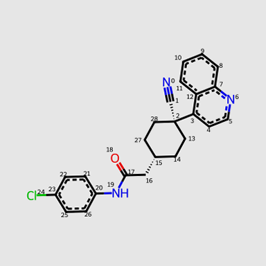 N#C[C@]1(c2ccnc3ccccc32)CC[C@H](CC(=O)Nc2ccc(Cl)cc2)CC1